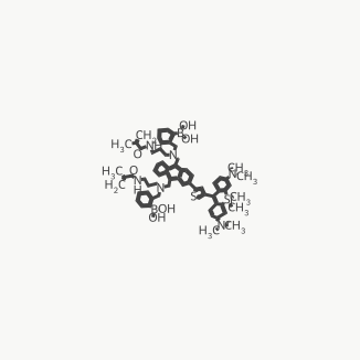 C=C(C)C(=O)NCCCN(Cc1ccccc1B(O)O)Cc1c2ccccc2c(CN(CCCNC(=O)C(=C)C)Cc2ccccc2B(O)O)c2cc(-c3cc(C4=C5C=CC(=[N+](C)C)C=C5[Si](C)(C)c5cc(N(C)C)ccc54)cs3)ccc12